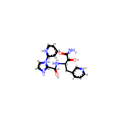 NC(=O)C(=O)C(Cc1cccnc1)NC(=O)c1nccn1-c1ccccn1